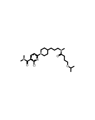 CC(C)OCCCC(=O)N(C)CCCC1CCN(c2ccc(C(=O)N(C)C)c(Cl)n2)CC1